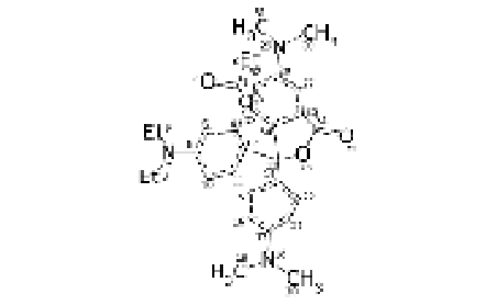 CCC(=O)Oc1cc(N(CC)CC)ccc1C1(c2ccc(N(C)C)cc2)OC(=O)c2cc(N(C)C)ccc21